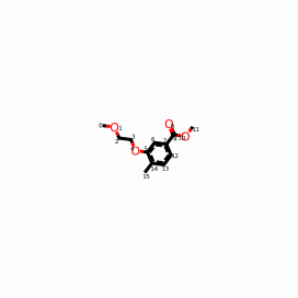 COCCOc1cc(C(=O)OC)ccc1C